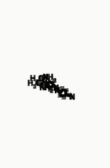 CC(N)N(c1ccc(N=Nc2ccc(C#N)cc2)cc1)C(C)N